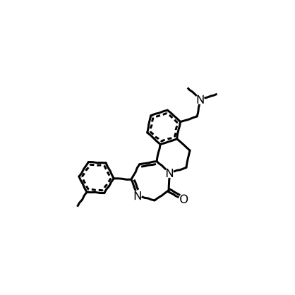 Cc1cccc(C2=NCC(=O)N3CCc4c(CN(C)C)cccc4C3=C2)c1